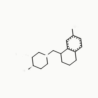 CCOC(=O)[C@@H]1CN(CC2CCCc3ccc(OC)cc32)CC[C@H]1O